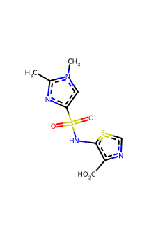 Cc1nc(S(=O)(=O)Nc2scnc2C(=O)O)cn1C